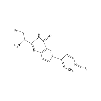 C=N/C=C\C(=C/C)c1ccc2nc(C(N)CC(C)C)[nH]c(=O)c2c1